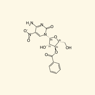 Nc1nc(=O)n([C@@H]2O[C@H](CO)[C@@H](OC(=O)c3ccccc3)[C@@H]2O)cc1[N+](=O)[O-]